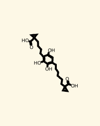 O=C(O)C1(CCCCCCc2cc(O)c(CCCCC3(C(=O)O)CC3)c(O)c2O)CC1